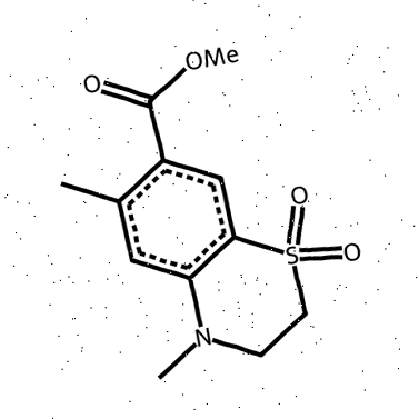 COC(=O)c1cc2c(cc1C)N(C)CCS2(=O)=O